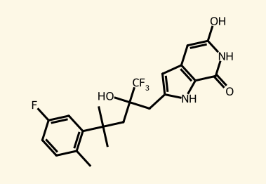 Cc1ccc(F)cc1C(C)(C)CC(O)(Cc1cc2cc(O)[nH]c(=O)c2[nH]1)C(F)(F)F